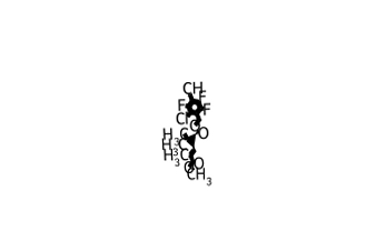 C#Cc1c(F)c(F)c(COC(=O)[C@@H]2[C@@H](/C=C(\C)C(=O)OC)C2(C)C)c(Cl)c1F